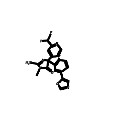 CN1C(=O)C(c2ccnc(C(F)F)c2)(c2cc(-c3cnco3)ccc2F)N=C1N